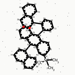 C[Si](C)(C)c1ccc2c(-c3ccccc3-c3cccc4ccccc34)c3ccccc3c(-c3cccc4ccccc34)c2c1